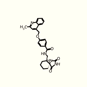 Cc1cc(COc2ccc(C(=O)NC[C@@H]3CCCC[C@@]34NC(=O)NC4=O)cc2)c2ccccc2n1